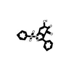 N#CC1=Cc2c(c(-c3ccccc3)nn2S(=O)(=O)c2ccccc2)C(=O)C1=O